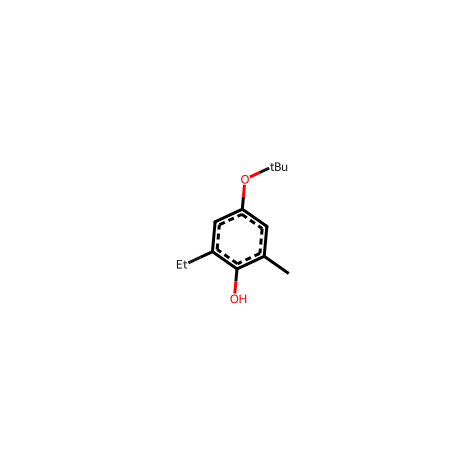 CCc1cc(OC(C)(C)C)cc(C)c1O